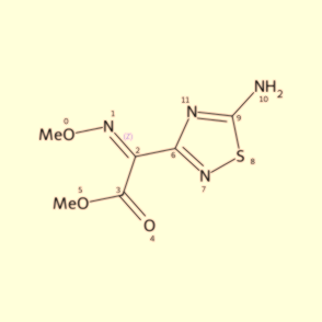 CO/N=C(\C(=O)OC)c1nsc(N)n1